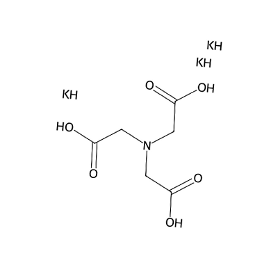 O=C(O)CN(CC(=O)O)CC(=O)O.[KH].[KH].[KH]